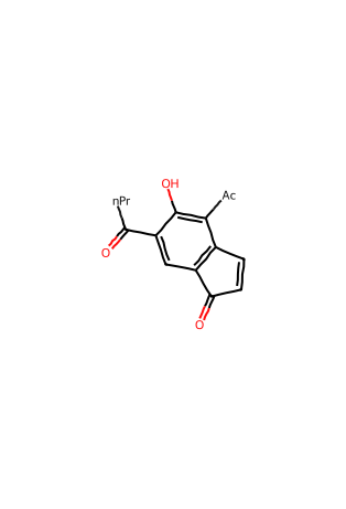 CCCC(=O)c1cc2c(c(C(C)=O)c1O)C=CC2=O